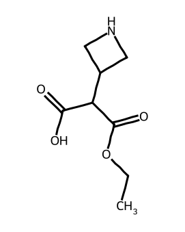 CCOC(=O)C(C(=O)O)C1CNC1